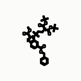 COC(=O)c1nc2ccc(C(=O)OCc3ccccc3)cc2n1C(C)(C)CCN(C(=O)OC(C)(C)C)C(=O)OC(C)(C)C